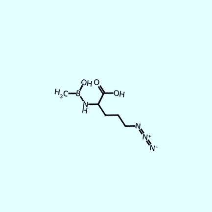 CB(O)NC(CCCN=[N+]=[N-])C(=O)O